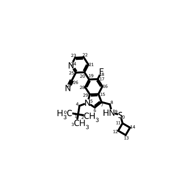 CC(C)(C)Cn1cc(CNSC2CCC2)c2cc(F)c(-c3cccnc3C#N)cc21